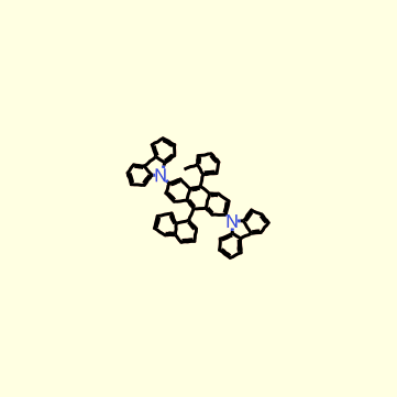 Cc1ccccc1-c1c2cc(-n3c4ccccc4c4ccccc43)ccc2c(-c2cccc3ccccc23)c2cc(-n3c4ccccc4c4ccccc43)ccc12